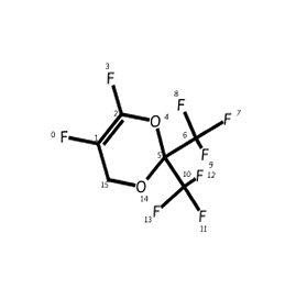 FC1=C(F)OC(C(F)(F)F)(C(F)(F)F)OC1